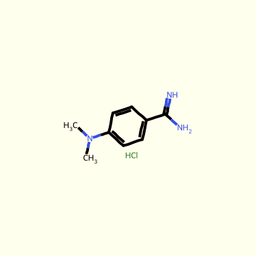 CN(C)c1ccc(C(=N)N)cc1.Cl